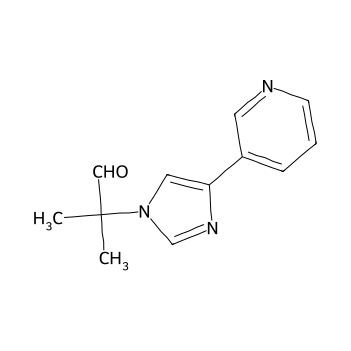 CC(C)(C=O)n1cnc(-c2cccnc2)c1